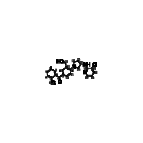 CCc1ccccc1C(=O)c1ccc(N2CCC(Nc3ncccc3Cl)C2)c(CO)c1